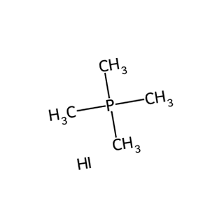 C[P](C)(C)C.I